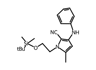 Cc1cc(Nc2ccccc2)c(C#N)n1CCO[Si](C)(C)C(C)(C)C